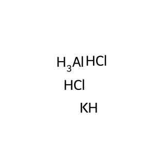 Cl.Cl.[AlH3].[KH]